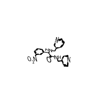 O=C(NCc1ccncc1)C(NCc1cccnc1)c1cccc([N+](=O)[O-])c1